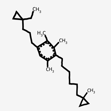 CCC1(CCCc2cc(C)c(CCCCCCC3(C)CC3)c(C)c2C)CC1